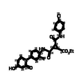 CCOC(=O)C1C(C(=O)Nc2ccc(Cl)cc2)C1C(=O)Nc1ccc(-n2ccc(O)cc2=O)cc1F